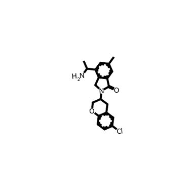 Cc1cc2c(c(C(C)N)c1)CN(C1COc3ccc(Cl)cc3C1)C2=O